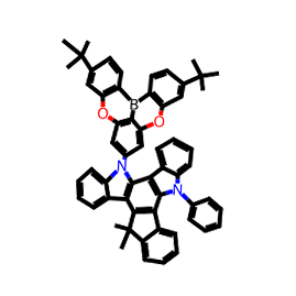 CC(C)(C)c1ccc2c(c1)Oc1cc(-n3c4ccccc4c4c5c(c6c(c7ccccc7n6-c6ccccc6)c43)-c3ccccc3C5(C)C)cc3c1B2c1ccc(C(C)(C)C)cc1O3